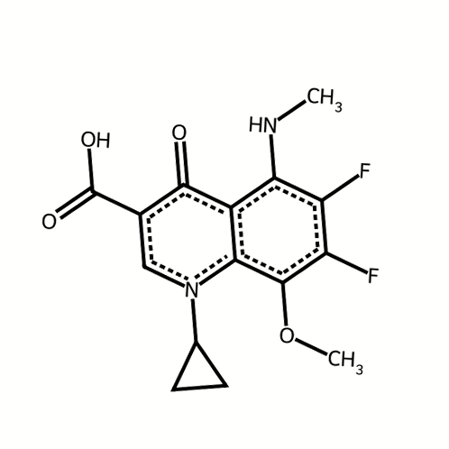 CNc1c(F)c(F)c(OC)c2c1c(=O)c(C(=O)O)cn2C1CC1